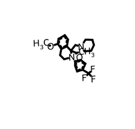 COc1cccc2c1CCN(c1ccc(C(F)(F)F)cc1)C2(CN1CCCCC1)C(C)=O